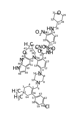 CC1(C)CCC(CN2CCN(c3ccc(C(=O)NS(=O)(=O)c4ccc(NCC5CCOCC5)c([N+](=O)[O-])c4)c(N4C[C@@](C)(C#N)COc5nc6[nH]ccc6cc54)c3)CC2)=C(c2ccc(Cl)cc2)C1